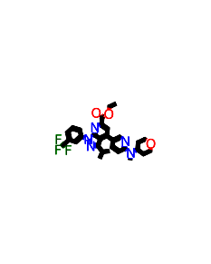 CCOC(=O)c1cc(-c2ccc(N(C)C3CCOCC3)nc2)c2c(C(C)C)nn(-c3cccc(C(F)(F)F)c3)c2n1